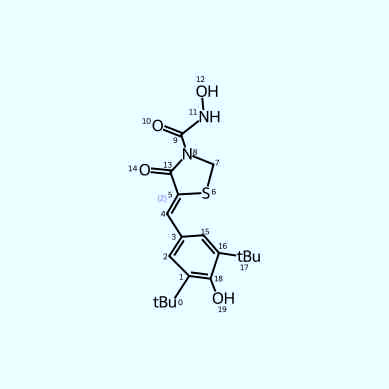 CC(C)(C)c1cc(/C=C2\SCN(C(=O)NO)C2=O)cc(C(C)(C)C)c1O